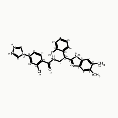 Cc1cc2nc([C@@H](CNC(=O)c3ccc(-n4cnnc4)cc3Cl)c3ccccc3F)[nH]c2cc1C